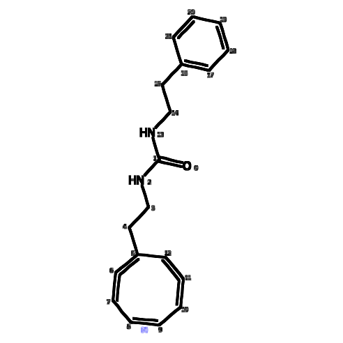 O=C(NCCC1=C=C/C=C\C=C=C1)NCCc1ccccc1